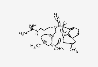 CC1CNc2c(cccc2S(=O)(=O)N[C@@H](CCCNC(=N)N)CN2CC[C@@H](C)C[C@@H]2C(=O)O)C1.O